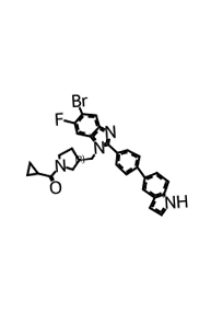 O=C(C1CC1)N1CC[C@@H](Cn2c(-c3ccc(-c4ccc5[nH]ccc5c4)cc3)nc3cc(Br)c(F)cc32)C1